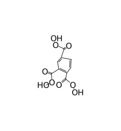 O=C(OO)c1ccc(C(=O)OO)c(C(=O)OO)c1